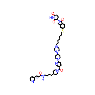 O=C(/C=C/c1cccnc1)NCCCCC1CCN(C(=O)c2ccc(N3CCC(N4CCN(CCCCCCCSc5ccc6c(c5)CN(C5CCC(=O)NC5=O)C6=O)CC4)CC3)nc2)CC1